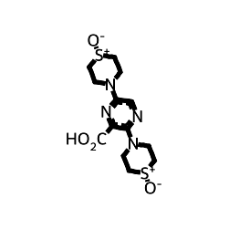 O=C(O)c1nc(N2CC[S+]([O-])CC2)cnc1N1CC[S+]([O-])CC1